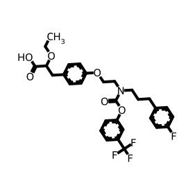 CCOC(Cc1ccc(OCCN(CCCc2ccc(F)cc2)C(=O)Oc2cccc(C(F)(F)F)c2)cc1)C(=O)O